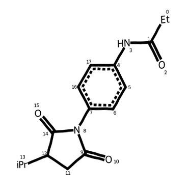 CCC(=O)Nc1ccc(N2C(=O)CC(C(C)C)C2=O)cc1